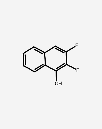 Oc1c(F)c(F)cc2ccccc12